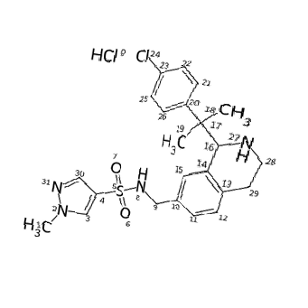 Cl.Cn1cc(S(=O)(=O)NCc2ccc3c(c2)C(C(C)(C)c2ccc(Cl)cc2)NCC3)cn1